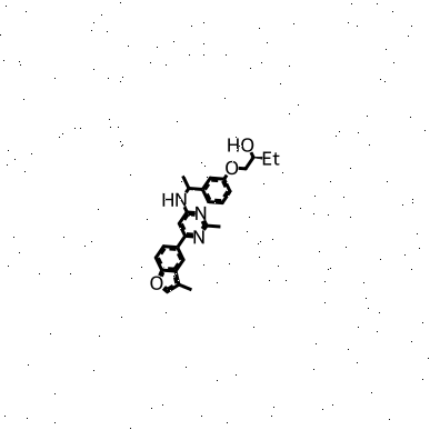 CC[C@H](O)COc1cccc(C(C)Nc2cc(-c3ccc4occ(C)c4c3)nc(C)n2)c1